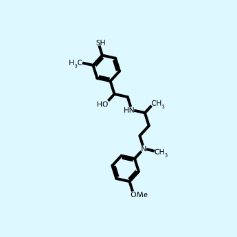 COc1cccc(N(C)CCC(C)NCC(O)c2ccc(S)c(C)c2)c1